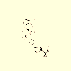 Cc1noc(-c2ccc(-c3ccc(C4(C(=O)O)CC4)cc3)cc2)c1NC(=O)O[C@H](C)c1ccccc1Cl